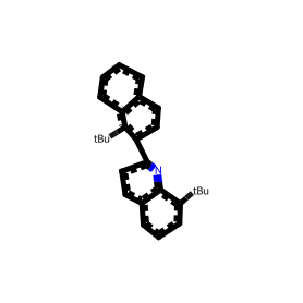 CC(C)(C)c1c(-c2ccc3cccc(C(C)(C)C)c3n2)ccc2ccccc12